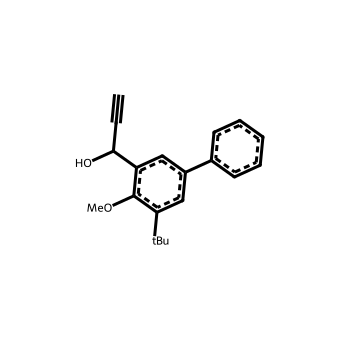 C#CC(O)c1cc(-c2ccccc2)cc(C(C)(C)C)c1OC